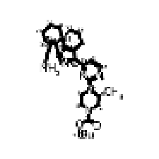 C[C@H]1CN(C(=O)OC(C)(C)C)CCN1c1nccc(-c2noc3c2CCC[C@@]32CCCc3sc(N)c(C#N)c32)n1